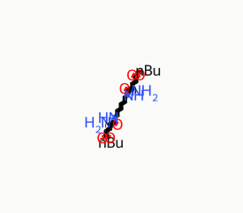 CCCCOC(=O)CC[C@H](N)C(=O)NCCCCCCNC(=O)[C@@H](N)CCC(=O)OCCCC